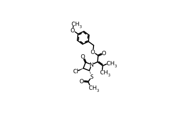 COc1ccc(COC(=O)C(=C(C)C)N2C(=O)[C@H](Cl)[C@H]2SC(C)=O)cc1